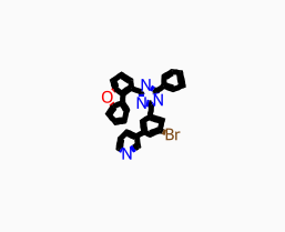 Brc1cc(-c2cccnc2)cc(-c2nc(-c3ccccc3)nc(-c3cccc4oc5ccccc5c34)n2)c1